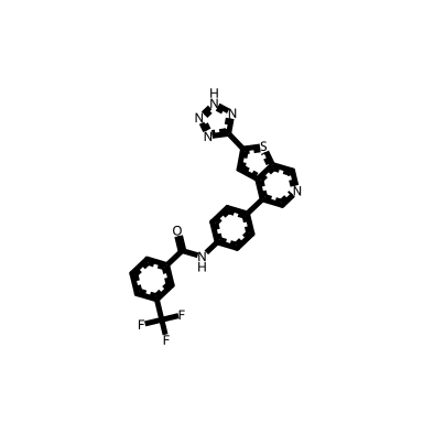 O=C(Nc1ccc(-c2cncc3sc(-c4nn[nH]n4)cc23)cc1)c1cccc(C(F)(F)F)c1